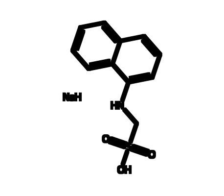 O=S(=O)(O)CNc1cccc2ccccc12.[NaH]